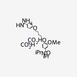 COc1cc(C(=O)N(C(C)C)C(C)C)ccc1OCCCCCOc1ccc(C(=N)N)cc1.O=C(O)/C=C\C(=O)O